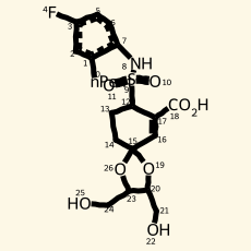 CCCCCc1cc(F)ccc1NS(=O)(=O)C1CCC2(C=C1C(=O)O)OC(CO)C(CO)O2